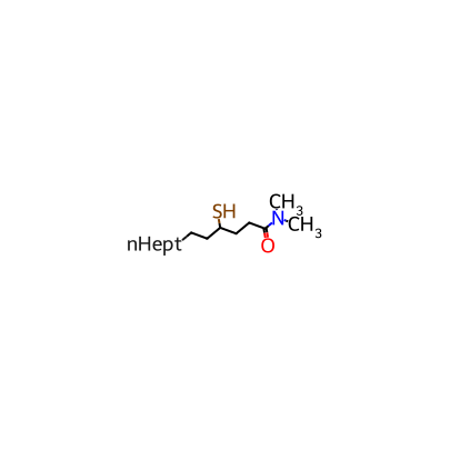 CCCCCCCCCC(S)CCC(=O)N(C)C